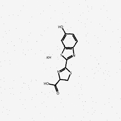 O=C(O)C1CSC(c2nc3ccc(O)cc3s2)=N1.[KH]